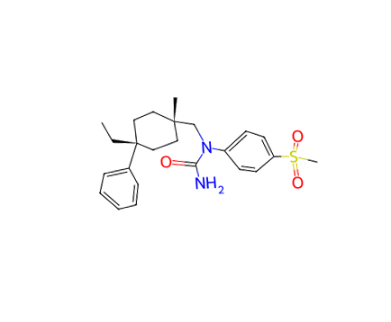 CC[C@]1(c2ccccc2)CC[C@@](C)(CN(C(N)=O)c2ccc(S(C)(=O)=O)cc2)CC1